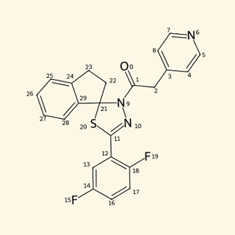 O=C(Cc1ccncc1)N1N=C(c2cc(F)ccc2F)SC12CCc1ccccc12